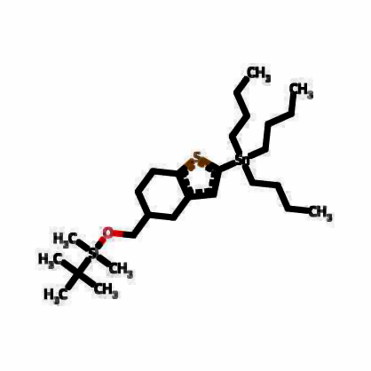 CCC[CH2][Sn]([CH2]CCC)([CH2]CCC)[c]1cc2c(s1)CCC(CO[Si](C)(C)C(C)(C)C)C2